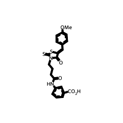 COc1ccc(/C=C2\SC(=S)N(CCCC(=O)Nc3cccc(C(=O)O)c3)C2=O)cc1